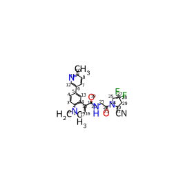 C=Nc1ccc(-c2ccc(C)nc2)cc1/C(=C\C)C(=O)NCC(=O)N1CC(F)(F)C[C@H]1C#N